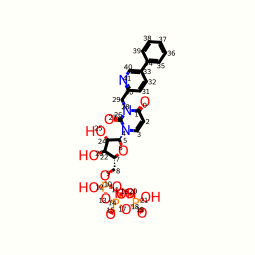 O=c1ccn([C@@H]2O[C@H](COP(=O)(O)OP(=O)(O)OP(=O)(O)O)C(O)C2O)c(=O)n1Cc1ccc(-c2ccccc2)cn1